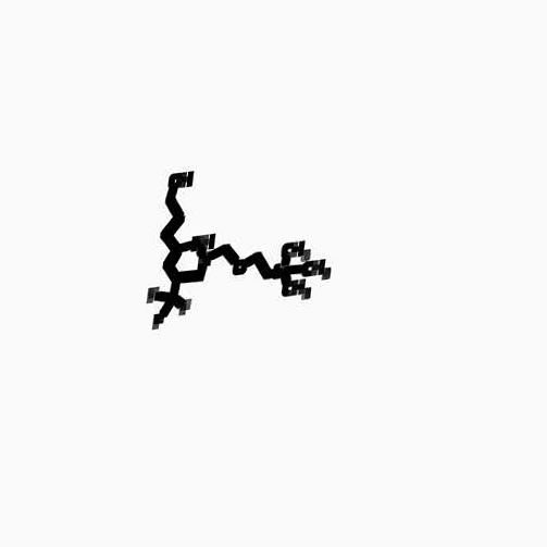 C[Si](C)(C)CCOCN1C=C(C(F)(F)F)C=C(/C=C/CO)N1